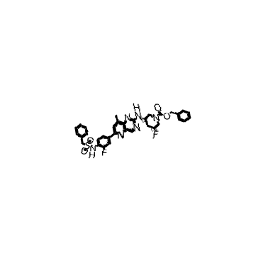 Cc1cc(-c2ccc(NS(=O)(=O)Cc3ccccc3)c(F)c2)nc2cnc(N[C@H]3C[C@H](F)CN(C(=O)OCc4ccccc4)C3)nc12